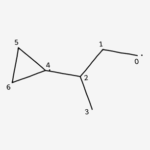 [CH2]CC(C)[C]1CC1